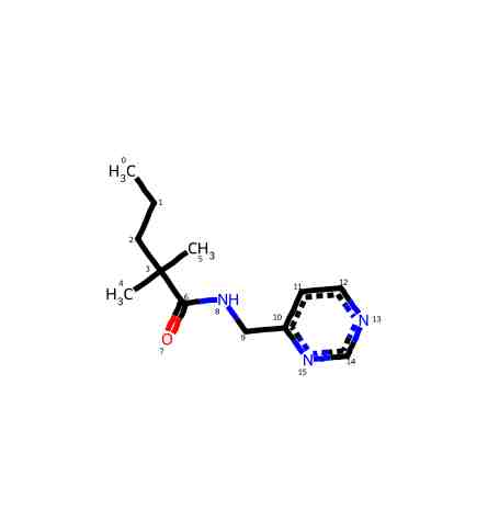 CCCC(C)(C)C(=O)NCc1ccncn1